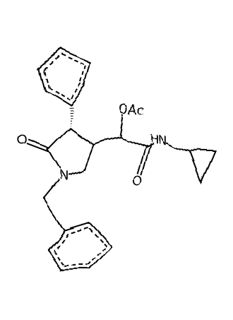 CC(=O)OC(C(=O)NC1CC1)C1CN(Cc2ccccc2)C(=O)[C@@H]1c1ccccc1